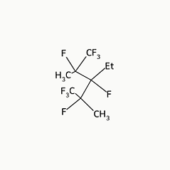 CCC(F)(C(C)(F)C(F)(F)F)C(C)(F)C(F)(F)F